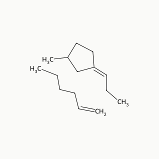 C=CCCCC.CCC=C1CCC(C)C1